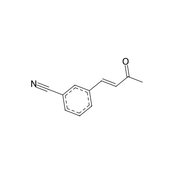 CC(=O)C=Cc1cccc(C#N)c1